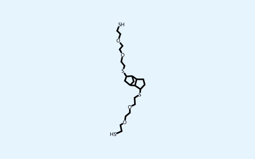 SCCOCCOCCSC1CC2CC1C1CCC(SCCOCCOCCS)C21